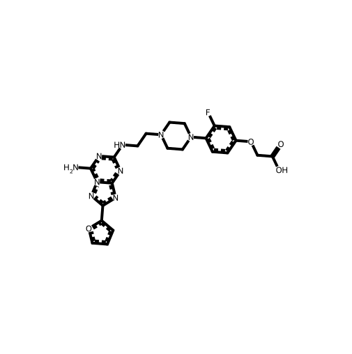 Nc1nc(NCCN2CCN(c3ccc(OCC(=O)O)cc3F)CC2)nc2nc(-c3ccco3)nn12